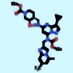 Cc1cc(C(F)(F)F)cc2nc(CN(C(=O)OC(C)(C)C)c3cc(NC[C@H]4CCN(C(=O)OC(C)(C)C)C[C@@H]4O)nc4c(C5CC5)cnn34)cn12